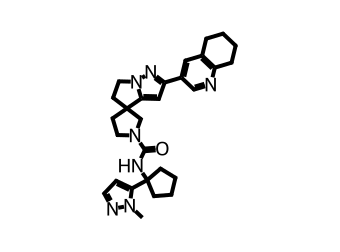 Cn1nccc1C1(NC(=O)N2CCC3(CCn4nc(-c5cnc6c(c5)CCCC6)cc43)C2)CCCC1